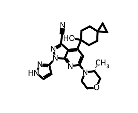 C[C@@H]1COCCN1c1cc(C2(O)CCC3(CC3)CC2)c2c(C#N)nn(-c3cc[nH]n3)c2n1